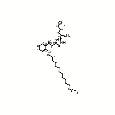 CCCCCCCCCCCCCCOc1ccccc1C(=O)CC1=NN(C(C)CCCC)NS1